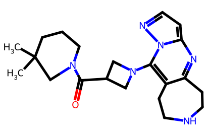 CC1(C)CCCN(C(=O)C2CN(c3c4c(nc5ccnn35)CCNCC4)C2)C1